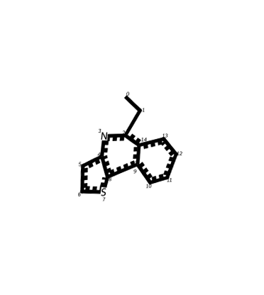 CCc1nc2ccsc2c2ccccc12